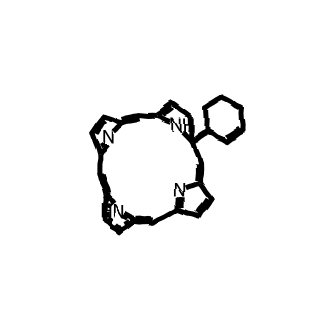 C1=CC(C23C=C4C=CC(=N4)C=c4ccc([nH]4)=CC4=NC(=CC(=CC2)N3)C=C4)CCC1